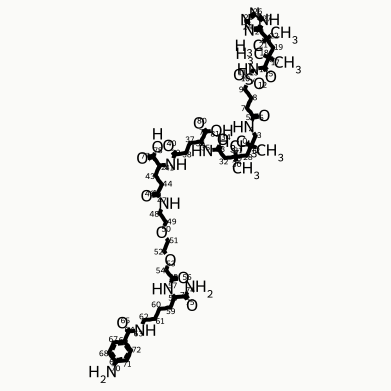 CC(C)(CNC(=O)CCCS(=O)(=O)NC(=O)C(C)(C)CC(C)(C)c1nnn[nH]1)CC(C)(C)CC(=O)NC(CCC(=O)NC(CCC(=O)NCCOCCOCC(=O)NC(CCCCNC(=O)c1ccc(N)cc1)C(N)=O)C(=O)O)C(=O)O